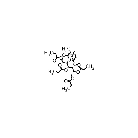 CCC(=O)OC[C@@H](OC(=O)CC)[C@@H](OC(=O)CC)[C@H](OC(=O)CC)[C@@H](COC(=O)CC)OC(=O)CC